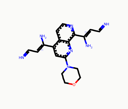 N=C/C=C(\N)c1cc(N2CCOCC2)nc2c(/C(N)=C/C=N)nccc12